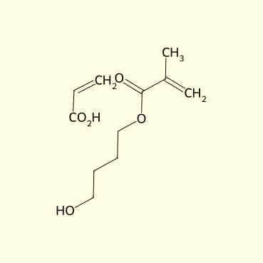 C=C(C)C(=O)OCCCCO.C=CC(=O)O